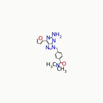 CN(C)C(=O)c1ccc(Cn2cnc3c(-c4ccco4)nc(N)nc32)cc1